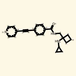 O=C(NCC1(NC2CC2)CCC1)c1ccc(C#Cc2ccncc2)cc1